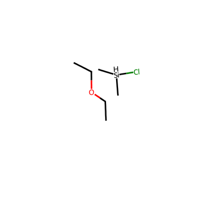 CCOCC.C[SiH](C)Cl